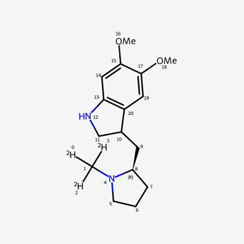 [2H]C([2H])([2H])N1CCC[C@@H]1CC1CNc2cc(OC)c(OC)cc21